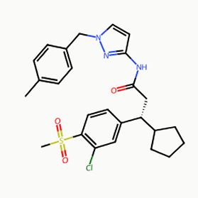 Cc1ccc(Cn2ccc(NC(=O)C[C@@H](c3ccc(S(C)(=O)=O)c(Cl)c3)C3CCCC3)n2)cc1